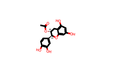 CC(=O)O[C@@H]1Cc2c(O)cc(O)cc2O[C@H]1c1ccc(O)c(O)c1